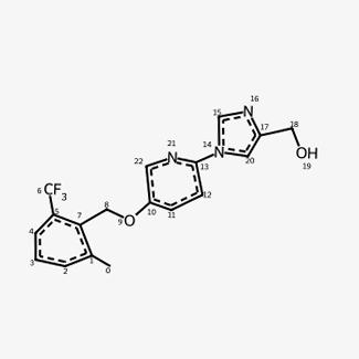 Cc1cccc(C(F)(F)F)c1COc1ccc(-n2cnc(CO)c2)nc1